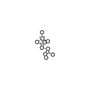 c1ccc(-c2nc(-c3ccccc3)nc(-c3ccccc3-n3c4ccccc4c4c(-c5cccc6c5c5ccc7ccccc7c5n6-c5ccccc5)cccc43)n2)cc1